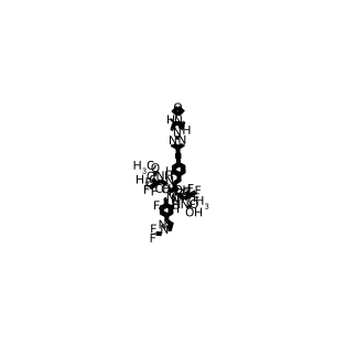 COC(=O)NC(C(=O)NC(Cc1ccc(C#Cc2cnc(N3C[C@H]4C[C@@H]3CN4C3COC3)nc2)cc1)C(O)CN(Cc1c(F)cc(-c2ccn(CC(F)F)n2)cc1F)NC(=O)C(NC(=O)O)C(C)(C)C(F)(F)F)C(C)(C)C(F)(F)F